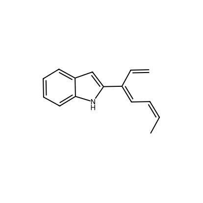 C=C/C(=C\C=C/C)c1cc2ccccc2[nH]1